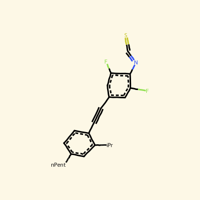 CCCCCc1ccc(C#Cc2cc(F)c(N=C=S)c(F)c2)c(C(C)C)c1